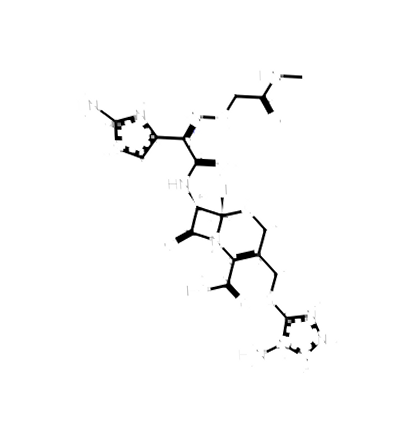 CNC(=O)CO/N=C(\C(=O)N[C@@H]1C(=O)N2C(C(=O)O)=C(CSc3nnnn3N)CS[C@@H]12)c1csc(N)n1